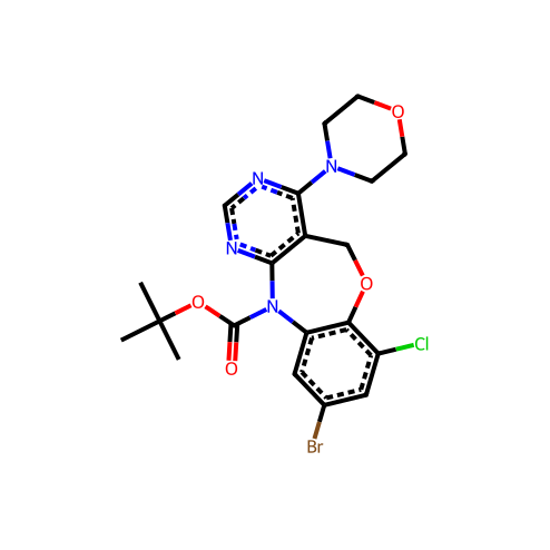 CC(C)(C)OC(=O)N1c2cc(Br)cc(Cl)c2OCc2c(N3CCOCC3)ncnc21